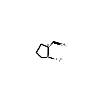 C=C[C@@H]1CCCN1C(=O)O